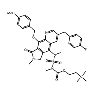 COc1ccc(COc2c3c(c(N(C)S(=O)(=O)N(C)C(=O)OCC[Si](C)(C)C)c4cc(Cc5ccc(F)cc5)cnc24)CN(C)C3=O)cc1